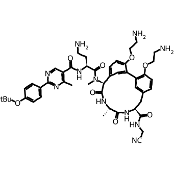 Cc1nc(-c2ccc(OC(C)(C)C)cc2)ncc1C(=O)N[C@@H](CCN)C(=O)N(C)[C@@H]1C(=O)N[C@@H](C)C(=O)N[C@H](C(=O)NCC#N)Cc2ccc(OCCN)c(c2)-c2cc1ccc2OCCN